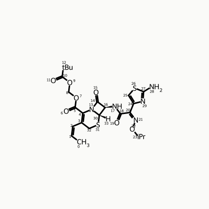 C/C=C\C1=C(C(=O)OCOC(=O)C(C)(C)C)N2C(=O)[C@@H](NC(=O)/C(=N\OC(C)C)c3csc(N)n3)[C@@H]2SC1